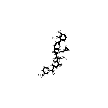 Cc1c(O)cccc1-c1ccc2cc(-c3nn4cc(C(=O)N5CCC[C@@H](N)C5)cc(F)c4c3C)n(CC3CC3)c2n1